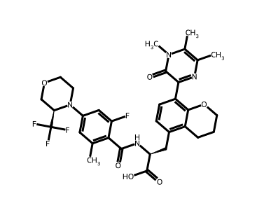 Cc1cc(N2CCOC[C@@H]2C(F)(F)F)cc(F)c1C(=O)N[C@@H](Cc1ccc(-c2nc(C)c(C)n(C)c2=O)c2c1CCCO2)C(=O)O